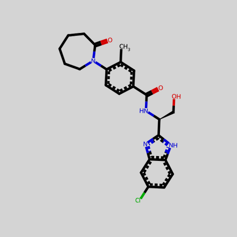 Cc1cc(C(=O)N[C@@H](CO)c2nc3cc(Cl)ccc3[nH]2)ccc1N1CCCCCC1=O